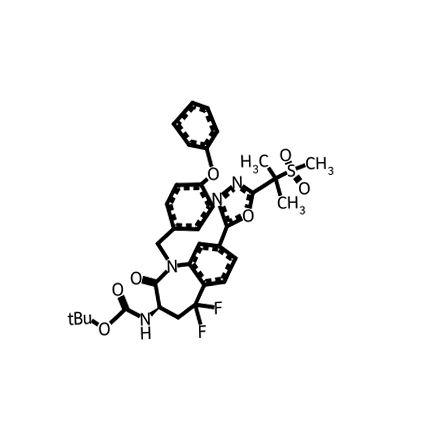 CC(C)(C)OC(=O)N[C@@H]1CC(F)(F)c2ccc(-c3nnc(C(C)(C)S(C)(=O)=O)o3)cc2N(Cc2ccc(Oc3ccccc3)cc2)C1=O